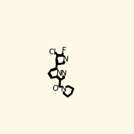 O=C(c1cnn2c(-c3cnc(F)c(Cl)c3)cccc12)N1CCCCC1